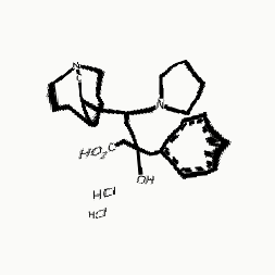 Cl.Cl.O=C(O)C(O)(c1ccccc1)C(C1CN2CCC1CC2)N1CCCC1